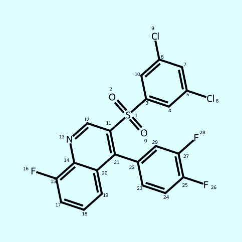 O=S(=O)(c1cc(Cl)cc(Cl)c1)c1cnc2c(F)cccc2c1-c1ccc(F)c(F)c1